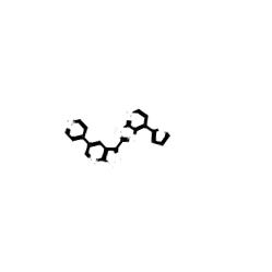 c1csc(-c2ccnc3[nH]c(-c4n[nH]c5ncc(-c6ccncc6)cc45)nc23)c1